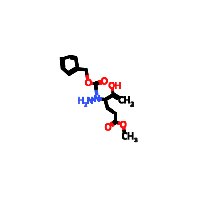 C=C(O)C(CCC(=O)OC)N(N)C(=O)OCc1ccccc1